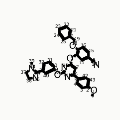 COc1ccc(-c2cc(Oc3cc(C#N)ccc3OCc3ccccc3)nc(Oc3cccc(C4=NCCN4C)c3)n2)cc1